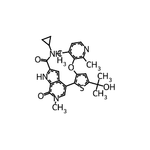 Cc1ccnc(C)c1Oc1cc(C(C)(C)O)sc1-c1cn(C)c(=O)c2[nH]c(C(=O)NC3CC3)cc12